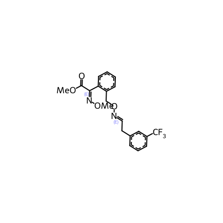 CO/N=C(/C(=O)OC)c1ccccc1CO/N=C/Cc1cccc(C(F)(F)F)c1